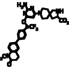 CN1C(=O)CCc2cc(-c3ccc([C@@H](Oc4cc(N5CCC6(CC5)CNC(C(=O)O)C6)nc(N)n4)C(F)(F)F)cc3)ccc21